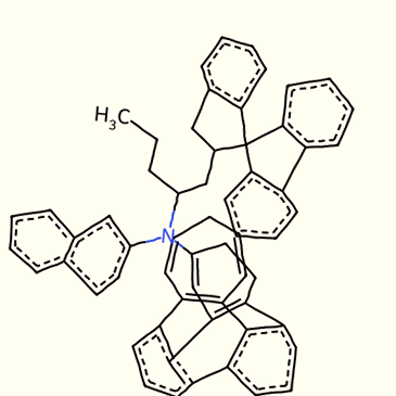 CCCC(CC1Cc2ccccc2C12c1ccccc1-c1ccccc12)N(C1=CC2=C(CC1)c1cccc3c1C1=C(C=CCC=C1)c1cccc-3c12)c1ccc2ccccc2c1